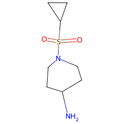 NC1CCN(S(=O)(=O)C2CC2)CC1